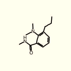 CCCc1cccc(C(=O)NC)c1N(C)C